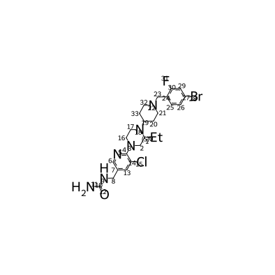 CC[C@H]1CN(c2ncc(CNC(N)=O)cc2Cl)CCN1C1CCN(Cc2ccc(Br)cc2F)CC1